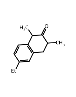 CCc1ccc2c(c1)CC(C)C(=O)C2C